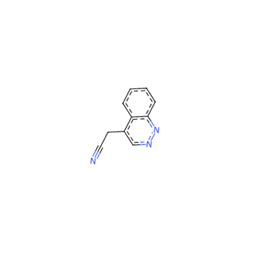 N#CCc1cnnc2ccccc12